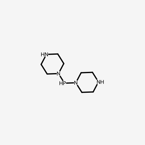 C1CN(PN2CCNCC2)CCN1